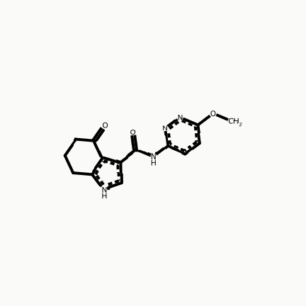 COc1ccc(NC(=O)c2c[nH]c3c2C(=O)CCC3)nn1